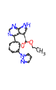 CCOC(=O)c1c[nH]c2ncnc(-c3cccc(-n4cccn4)c3)c12